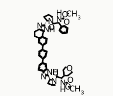 COC(=O)N[C@H](C(=O)N1CCC[C@H]1c1nc2ccc(-c3ccc(-c4ccc5c(c4)CCc4nc([C@@H]6CCCN6C(=O)[C@H](NC(=O)OC)c6ccccc6)[nH]c4-5)cc3)cc2[nH]1)C1CCOCC1